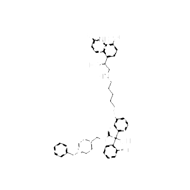 Cc1ccccc1C(O)(C(=O)OCC1CCN(Cc2ccccc2)CC1)c1cccc(OCCCCCNCC(O)c2ccc(O)c3[nH]c(=O)ccc23)c1